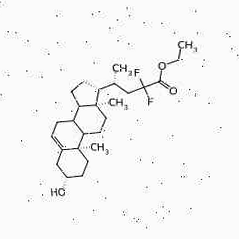 CCOC(=O)C(F)(F)C[C@@H](C)[C@H]1CCC2C3CC=C4C[C@@H](O)CC[C@]4(C)C3CC[C@@]21C